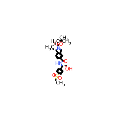 CC[C@H]1c2ccc(C(=O)N[C@H](CO)c3ccc(S(=O)(=O)CC)cc3)cc2CN1C(=O)OC(C)(C)C